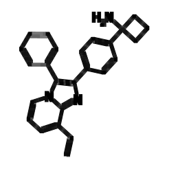 C=Cc1cccn2c(-c3ccccc3)c(-c3ccc(C4(N)CCC4)cc3)nc12